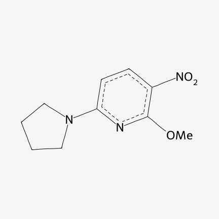 COc1nc(N2CCCC2)ccc1[N+](=O)[O-]